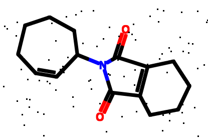 O=C1C2=C(CCCC2)C(=O)N1C1C=CCCCC1